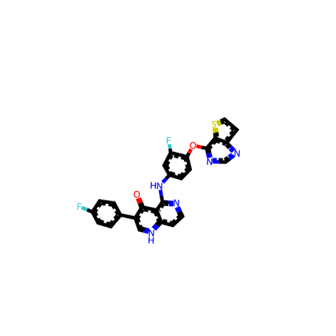 O=c1c(-c2ccc(F)cc2)c[nH]c2ccnc(Nc3ccc(Oc4ncnc5ccsc45)c(F)c3)c12